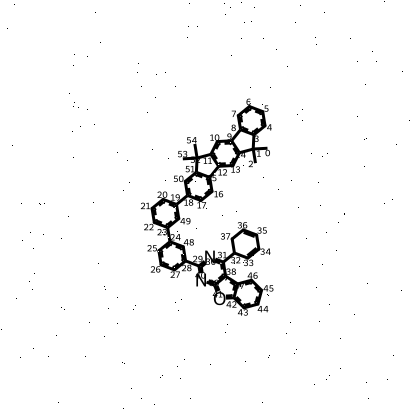 CC1(C)c2ccccc2-c2cc3c(cc21)-c1ccc(-c2cccc(-c4cccc(-c5nc(C6C=CC=CC6)c6c(n5)oc5ccccc56)c4)c2)cc1C3(C)C